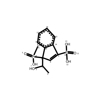 CC(O)C1(P(=O)(O)O)C=C(P(=O)(O)O)c2ccccc21